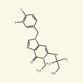 CCn1c(NC(C)(C)CO)nc2c(ncn2Cc2ccc(F)c(F)c2)c1=O